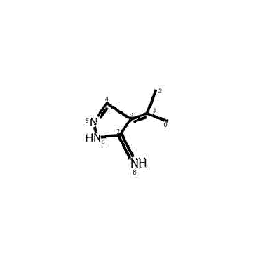 CC(C)=C1C=NNC1=N